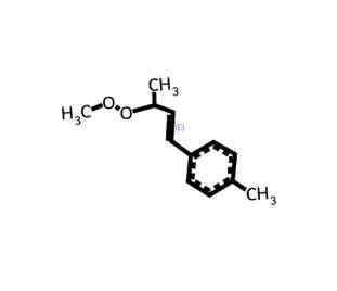 COOC(C)/C=C/c1ccc(C)cc1